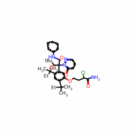 CCC(C)(C)c1cc(C(C)(C)CC)c(C(C(=O)Nc2ccccc2)(C(=O)C(C)(C)C)n2ncccc2=O)cc1OCCC(Cl)C(N)=O